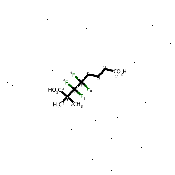 CC(C)(C(=O)O)C(F)(F)C(F)(F)CCCC(=O)O